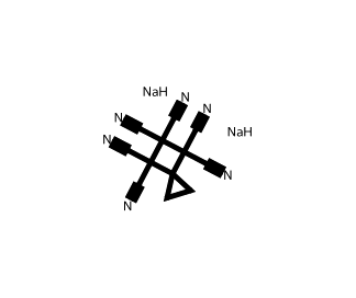 N#CC1(C#N)C(C#N)(C#N)C2(CC2)C1(C#N)C#N.[NaH].[NaH]